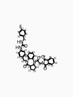 O=C(NCc1ccc(F)cc1)Nc1ccc(CN2C(=O)C3CCCC3N(C(=O)CN3C(=O)c4ccccc4C3=O)c3ccccc32)cc1